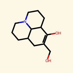 OCC1=C(O)C2CCCN3CCCC(C1)C23